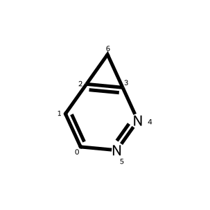 c1cc2c(nn1)C2